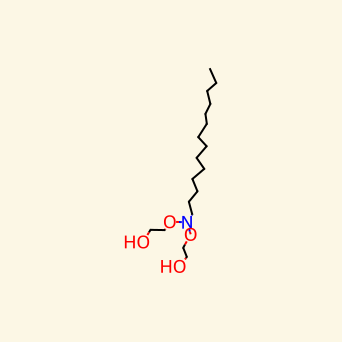 CCCCCCCCCCCCCCN(OCCO)OCCO